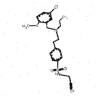 C#CCNS(=O)(=O)c1ccc(CCN(CCC)Cc2cc(Cl)ccc2OC)cc1